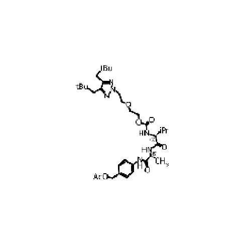 CC(=O)OCc1ccc(NC(=O)[C@H](C)NC(=O)[C@@H](NC(=O)OCCOCCn2nc(CC(C)(C)C)c(CC(C)(C)C)n2)C(C)C)cc1